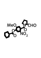 COc1cc(C(=O)N2CCC[C@H]2C=O)c([N+](=O)[O-])cc1OC(=O)c1ccccc1